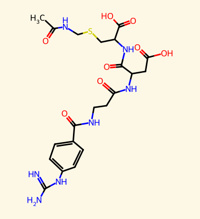 CC(=O)NCSCC(NC(=O)C(CC(=O)O)NC(=O)CCNC(=O)c1ccc(NC(=N)N)cc1)C(=O)O